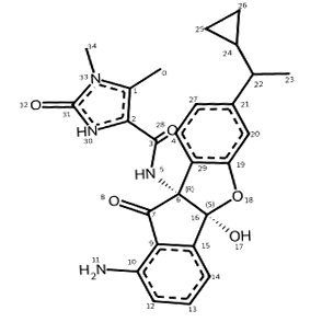 Cc1c(C(=O)N[C@@]23C(=O)c4c(N)cccc4[C@]2(O)Oc2cc(C(C)C4CC4)ccc23)[nH]c(=O)n1C